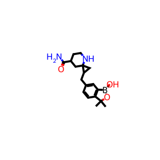 CC1(C)OB(O)c2cc(CC3CC34CC(C(N)=O)CCN4)ccc21